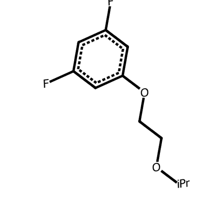 CC(C)OCCOc1cc(F)cc(F)c1